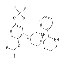 FC(F)Oc1ccc(OC(F)(F)F)cc1[C@H]1CC[C@]2(CCCNC2c2ccccc2)NC1